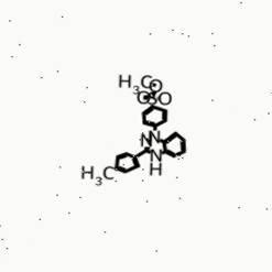 COS(=O)(=O)c1ccc(N2N=C(c3ccc(C)cc3)Nc3ccccc32)cc1